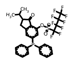 CC(C)C1Cc2cc(P(c3ccccc3)c3ccccc3)cc(OS(=O)(=O)C(F)(F)C(F)(F)C(F)(F)C(F)(F)F)c2C1=O